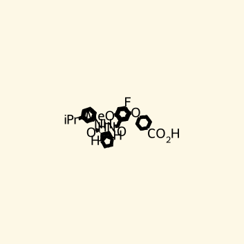 COc1cc(F)c(OC2CCC(C(=O)O)CC2)cc1C(=O)N[C@@H]1[C@H]2CC[C@H](C2)[C@@H]1C(=O)Nc1cccc(C(C)C)c1